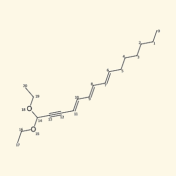 CCCCCCC=CC=CC=CC#CC(OCC)OCC